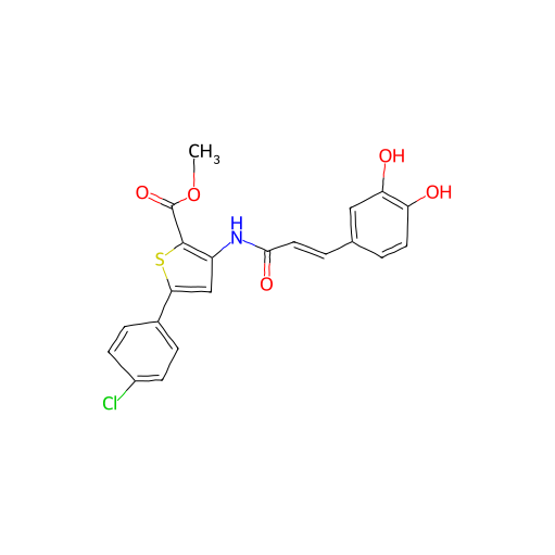 COC(=O)c1sc(-c2ccc(Cl)cc2)cc1NC(=O)C=Cc1ccc(O)c(O)c1